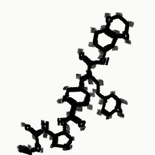 CC(C)(C)OC(=O)NC1=CSCC1NC(=O)c1ccc(CN(CCN2CCOCC2)C(=O)Nc2ccc3c(c2)OCCO3)cn1